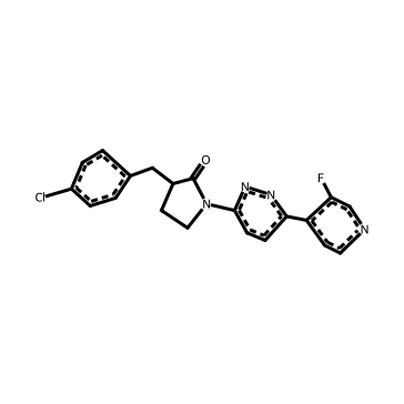 O=C1C(Cc2ccc(Cl)cc2)CCN1c1ccc(-c2ccncc2F)nn1